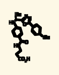 CCC(C)[C@H](Nc1ccc(C(=O)NCCC(=O)O)cc1)c1nnc(-c2ccc(C(C)(C)C)cc2)o1